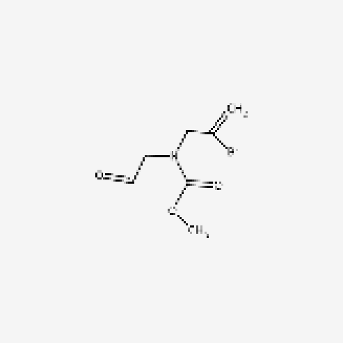 C=C(Br)CN(CC=O)C(=O)OC